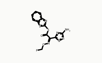 Nc1nc(/C(=N/OCF)C(=O)Sc2nc3ccccc3s2)ns1